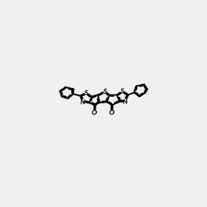 O=c1c2nc(-c3ccccc3)sc2c2sc3c4sc(-c5ccccc5)nc4c(=O)c3c12